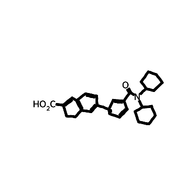 O=C(O)C1=Cc2ccc(-c3cccc(C(=O)N(C4CCCCC4)C4CCCCC4)c3)cc2CC1